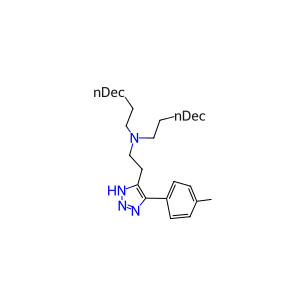 CCCCCCCCCCCCN(CCCCCCCCCCCC)CCc1[nH]nnc1-c1ccc(C)cc1